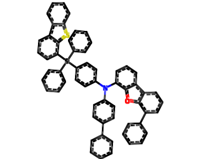 c1ccc(-c2ccc(N(c3ccc([Si](c4ccccc4)(c4ccccc4)c4cccc5c4sc4ccccc45)cc3)c3cccc4c3oc3c(-c5ccccc5)cccc34)cc2)cc1